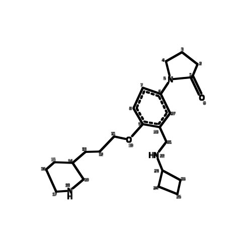 O=C1CCCN1c1ccc(OCCCC2CCCNC2)c(CNC2CCC2)c1